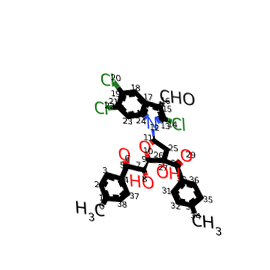 Cc1ccc(C(=O)C(O)[C@H]2O[C@@H](n3c(Cl)c(C=O)c4cc(Cl)c(Cl)cc43)C[C@@]2(O)C(=O)c2ccc(C)cc2)cc1